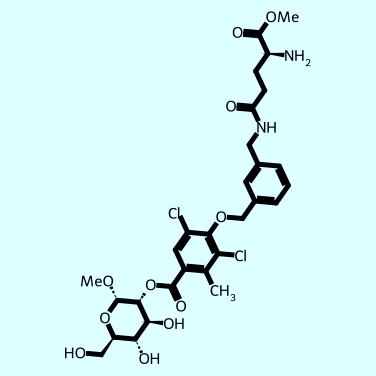 COC(=O)[C@@H](N)CCC(=O)NCc1cccc(COc2c(Cl)cc(C(=O)O[C@H]3[C@@H](OC)O[C@H](CO)[C@@H](O)[C@@H]3O)c(C)c2Cl)c1